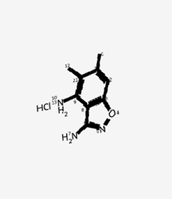 Cc1cc2onc(N)c2c(N)c1C.Cl